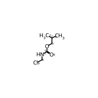 CC(C)COC(=O)NCCl